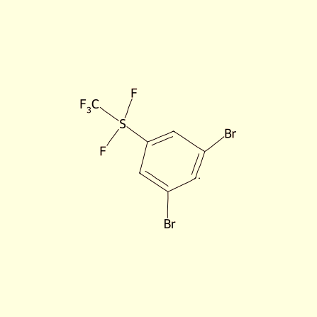 FC(F)(F)S(F)(F)c1cc(Br)[c]c(Br)c1